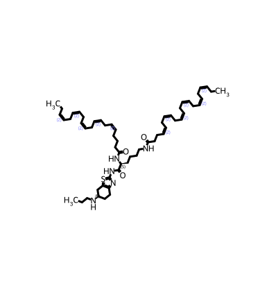 CC/C=C\C/C=C\C/C=C\C/C=C\C/C=C\C/C=C\CCC(=O)NCCCC[C@H](NC(=O)CCC/C=C\C/C=C\C/C=C\C/C=C\C/C=C\CC)C(=O)Nc1nc2c(s1)C[C@H](NCCC)CC2